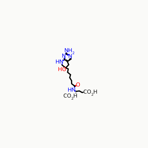 Nc1ncc2c(n1)NC[C@](O)(CCCCCCC(=O)N[C@H](CCC(=O)O)C(=O)O)C2